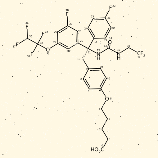 O=C(O)CCCCOc1ccc(C[C@@](NC(=O)NCC(F)(F)F)(c2ccc(F)cc2)c2cc(F)cc(OC(F)(F)C(F)F)c2)cc1